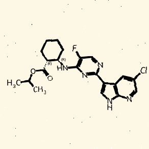 CC(C)OC(=O)[C@@H]1CCCC[C@H]1Nc1nc(-c2c[nH]c3ncc(Cl)cc23)ncc1F